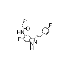 O=C(CC1CC1)Nc1cc2c(C=Cc3ccc(F)cc3)n[nH]c2cc1F